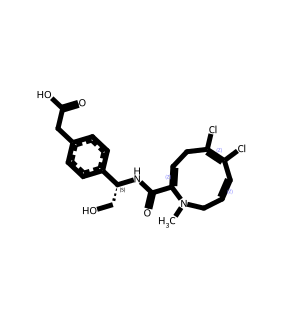 CN1C/C=C\C(Cl)=C(\Cl)C/C=C\1C(=O)N[C@H](CO)c1ccc(CC(=O)O)cc1